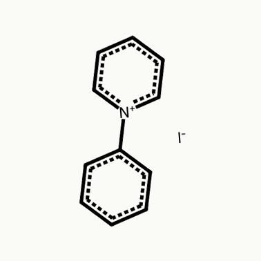 [I-].c1ccc(-[n+]2ccccc2)cc1